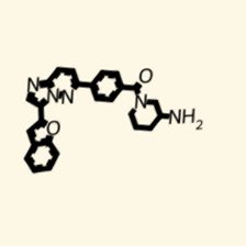 NC1CCCN(C(=O)c2ccc(-c3ccc4ncc(-c5cc6ccccc6o5)n4n3)cc2)C1